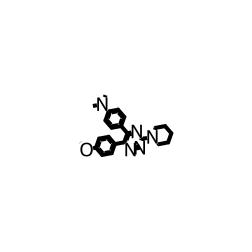 COc1ccc(-c2nnc(N3CCCCC3)nc2-c2ccc(N(C)C)cc2)cc1